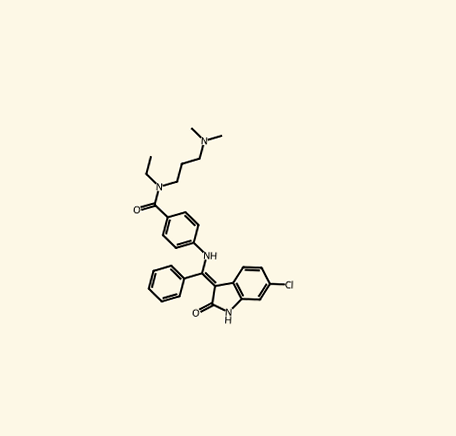 CCN(CCCN(C)C)C(=O)c1ccc(NC(=C2C(=O)Nc3cc(Cl)ccc32)c2ccccc2)cc1